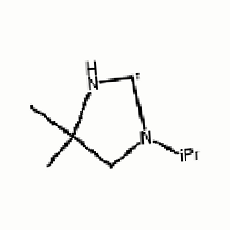 CC(C)N1[C]NC(C)(C)C1